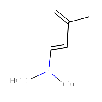 C=C(C)/C=C/N(C(=O)O)C(C)(C)C